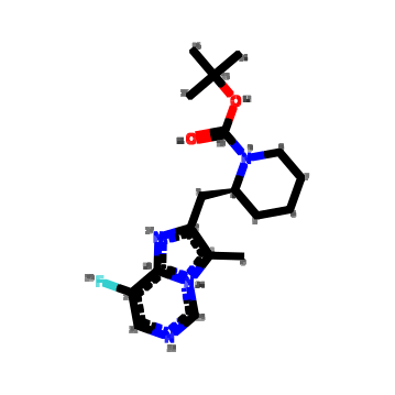 Cc1c(C[C@@H]2CCCCN2C(=O)OC(C)(C)C)nc2c(F)cncn12